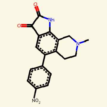 CN1CCc2c(-c3ccc([N+](=O)[O-])cc3)cc3c(c2C1)NC(=O)C3=O